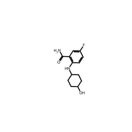 NC(=O)c1cc(F)ccc1NC1CCC(O)CC1